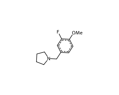 COc1ccc(CN2CCCC2)cc1F